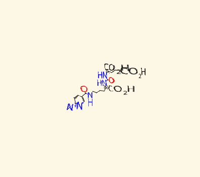 C[N+](C)(C)c1ccc(C(=O)NCCCC[C@H](NC(=O)N[C@@H](CCC(=O)O)C(=O)O)C(=O)O)cn1